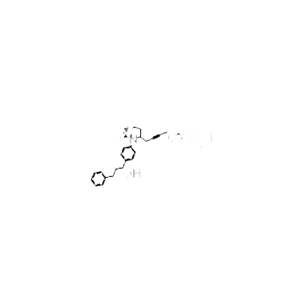 O=C(O)COCC#CCC1CCS(=O)(=O)N1c1ccc(C(O)CCc2ccccc2)cc1